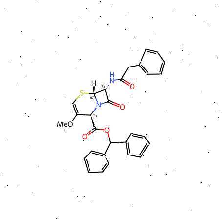 COC1=CS[C@@H]2[C@H](NC(=O)Cc3ccccc3)C(=O)N2[C@H]1C(=O)OC(c1ccccc1)c1ccccc1